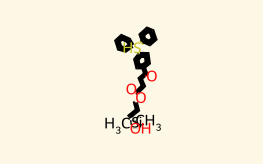 C[Si](C)(O)CCCOC(=O)CCC(=O)c1ccc([SH](c2ccccc2)c2ccccc2)cc1